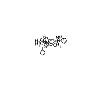 C/C=C\C(=N/N(N)c1ccccc1)C(C)(C)Cc1cn(Cc2ccccc2)c(C(C)(C)C)n1